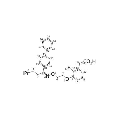 CC(C)CCC(=NOCCOc1cccc(CC(=O)O)c1F)c1ccc(-c2ccccc2)cc1